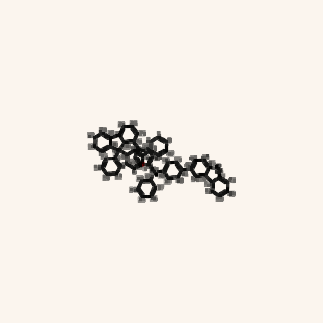 c1ccc(-c2cccc(C3(c4ccccc4)c4ccccc4-c4cccc(-c5ccc(N(c6ccccc6)c6ccc(-c7ccc8sc9ccccc9c8c7)cc6)cc5)c43)c2)cc1